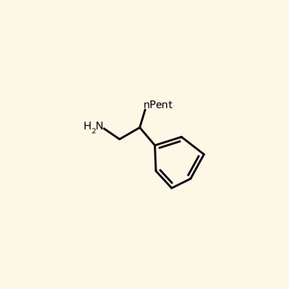 CCCCCC(CN)c1ccccc1